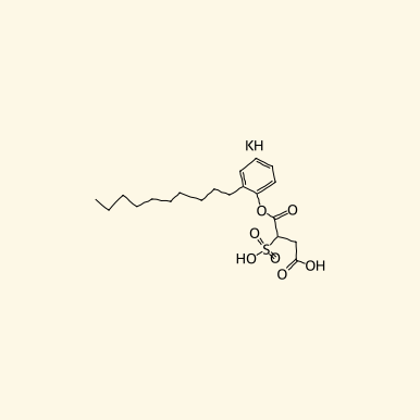 CCCCCCCCCCc1ccccc1OC(=O)C(CC(=O)O)S(=O)(=O)O.[KH]